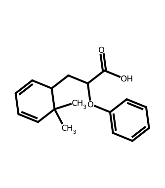 CC1(C)C=CC=CC1CC(Oc1ccccc1)C(=O)O